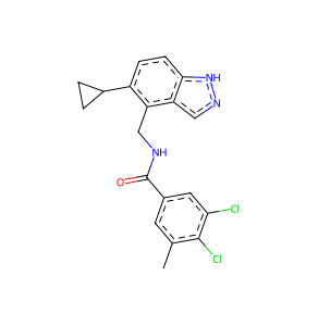 Cc1cc(C(=O)NCc2c(C3CC3)ccc3[nH]ncc23)cc(Cl)c1Cl